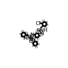 Nc1cc(S(=O)(=O)NCc2ccccc2Cl)c[c]c1N(c1ccccc1)S(=O)(=O)NCc1ccccc1